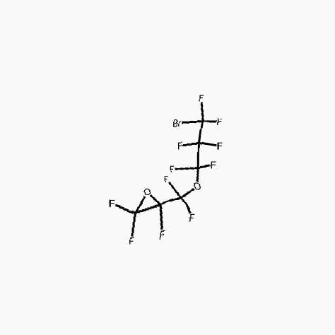 FC(F)(Br)C(F)(F)C(F)(F)OC(F)(F)C1(F)OC1(F)F